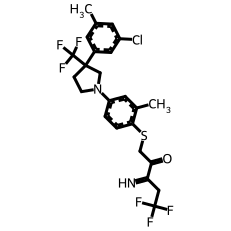 Cc1cc(Cl)cc(C2(C(F)(F)F)CCN(c3ccc(SCC(=O)C(=N)CC(F)(F)F)c(C)c3)C2)c1